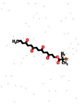 C=CCC(=O)CCC(=O)CCC(=O)CCC(=O)CCOC(=O)C(C)(C)Br